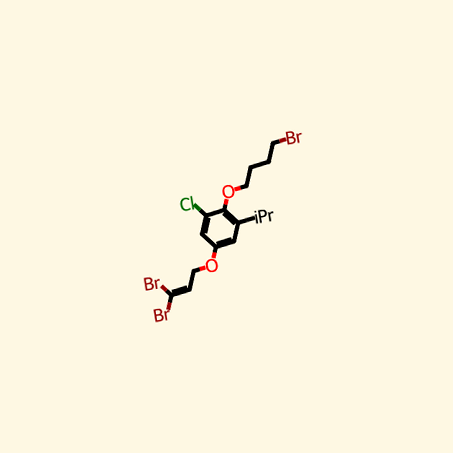 CC(C)c1cc(OCC=C(Br)Br)cc(Cl)c1OCCCCBr